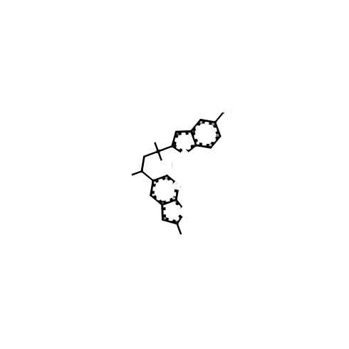 CC(C)c1ccc2sc(C(C)(C)CC(C)c3cnc4sc(C(C)C)cc4c3)cc2c1